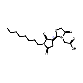 CCCCCCCCN1C(=O)C/C(=C2/SCC(=O)N2CC(=O)O)C1=O